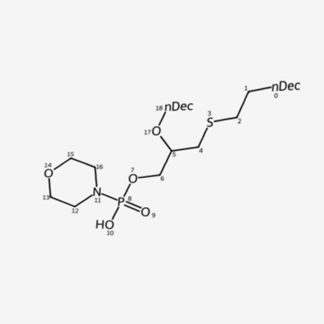 CCCCCCCCCCCCSCC(COP(=O)(O)N1CCOCC1)OCCCCCCCCCC